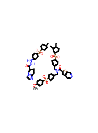 CCCOc1ccc(S(=O)(=O)c2ccc(CN(Cc3ccc(S(=O)(=O)c4ccc(C)c(C)c4)cc3)C(=O)c3cc4ccncc4s3)cc2)cc1.Cc1ccc(S(=O)(=O)c2ccc(NNC(=O)c3ccc4nccn4c3)cc2)cc1